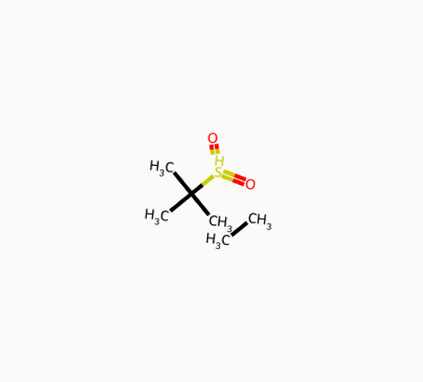 CC.CC(C)(C)[SH](=O)=O